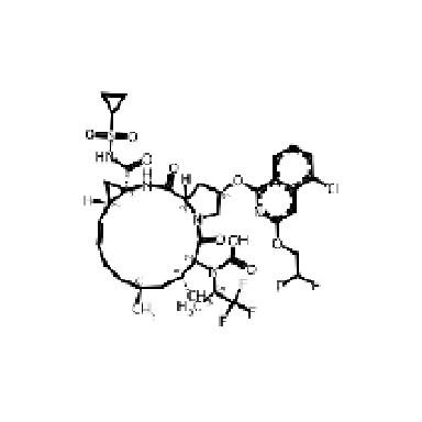 C[C@H]1CCC=C[C@@H]2C[C@@]2(C(=O)NS(=O)(=O)C2CC2)NC(=O)[C@@H]2C[C@@H](Oc3nc(OCC(F)F)cc4c(Cl)cccc34)CN2C(=O)[C@@H](N(C(=O)O)[C@H](C)C(F)(F)F)[C@H](C)C1